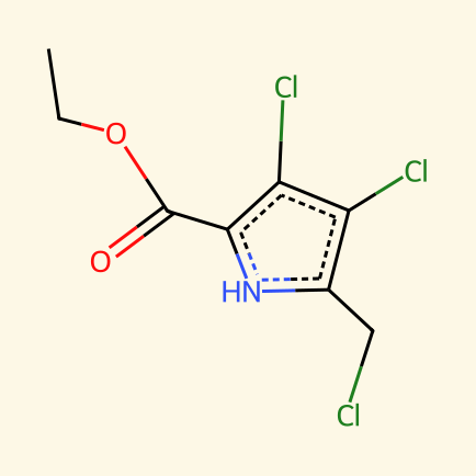 CCOC(=O)c1[nH]c(CCl)c(Cl)c1Cl